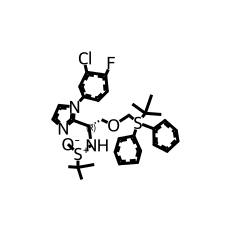 CC(C)(C)[S+]([O-])N[C@@H](COCS(c1ccccc1)(c1ccccc1)C(C)(C)C)c1nccn1-c1ccc(F)c(Cl)c1